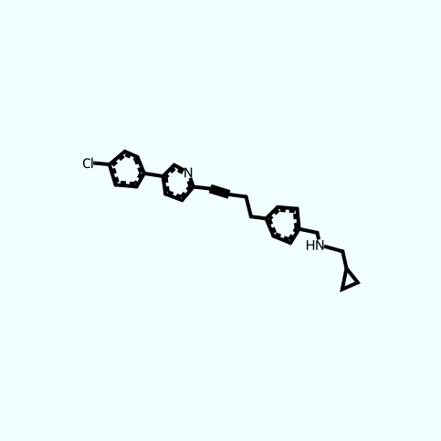 Clc1ccc(-c2ccc(C#CCCc3ccc(CNCC4CC4)cc3)nc2)cc1